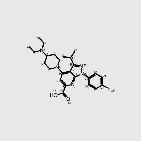 CCN(CC)C1CCN(c2cc(C(=O)O)nc3c2c(C(C)C)nn3-c2ccc(F)cc2)CC1